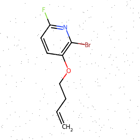 C=CCCOc1ccc(F)nc1Br